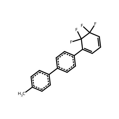 Cc1ccc(-c2ccc(C3=CC=CC(F)(F)C3(F)F)cc2)cc1